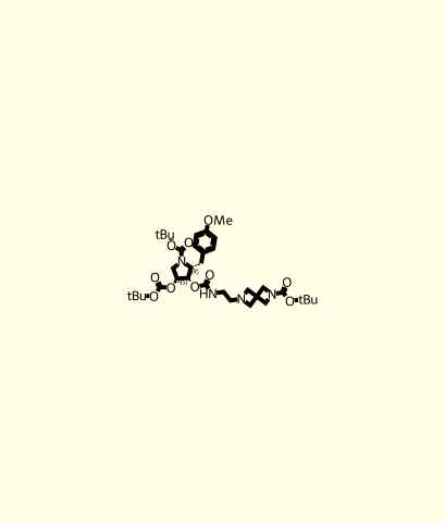 COc1ccc(C[C@@H]2[C@H](OC(=O)NCCN3CC4(C3)CN(C(=O)OC(C)(C)C)C4)[C@@H](OC(=O)OC(C)(C)C)CN2C(=O)OC(C)(C)C)cc1